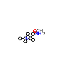 CC1Nc2cc(-c3c(-c4ccccc4-c4cc(-c5ccccc5)c5ccccc5n4)ccc4ccccc34)ccc2O1